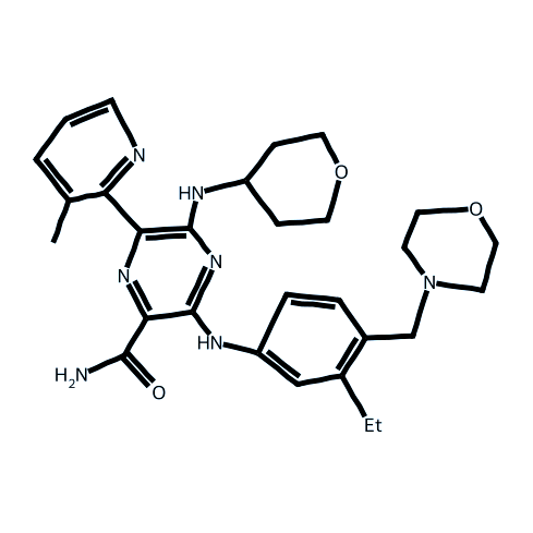 CCc1cc(Nc2nc(NC3CCOCC3)c(-c3ncccc3C)nc2C(N)=O)ccc1CN1CCOCC1